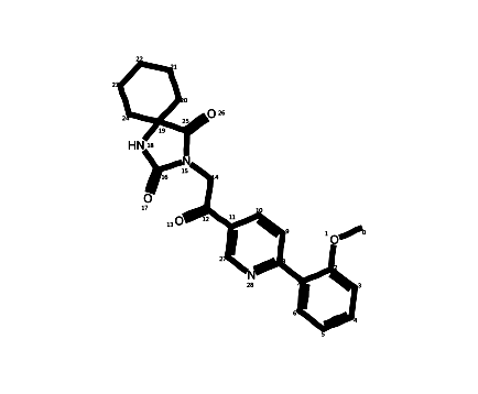 COc1ccccc1-c1ccc(C(=O)CN2C(=O)NC3(CCCCC3)C2=O)cn1